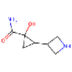 NC(=O)C1(O)CC1C1CNC1